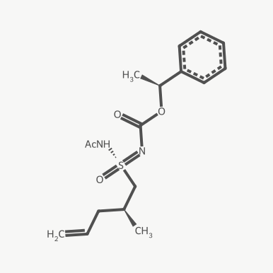 C=CC[C@H](C)C[S@@](=O)(=NC(=O)O[C@@H](C)c1ccccc1)NC(C)=O